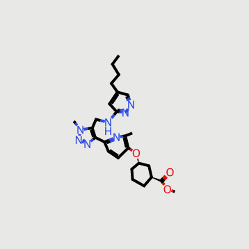 CCCCc1cnnc(NCc2c(-c3ccc(O[C@H]4CCC[C@H](C(=O)OC)C4)c(C)n3)nnn2C)c1